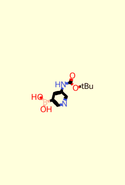 CC(C)(C)OC(=O)Nc1cncc(B(O)O)c1